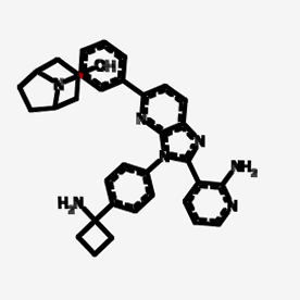 Nc1ncccc1-c1nc2ccc(-c3cccc(N4C5CCC4CC(O)C5)c3)nc2n1-c1ccc(C2(N)CCC2)cc1